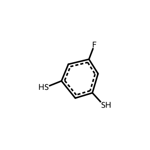 Fc1cc(S)cc(S)c1